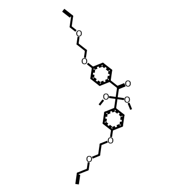 C=CCOCCOc1ccc(C(=O)C(OC)(OC)c2ccc(OCCOCC=C)cc2)cc1